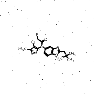 Cc1nsc(N(C(=O)CF)c2ccc3oc(CC(C)(C)C)nc3c2)c1Cl